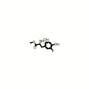 COC(=O)[C@@H](N)Cc1ccc(O)c(F)c1.Cl